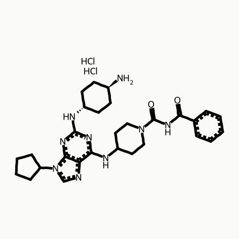 Cl.Cl.N[C@H]1CC[C@H](Nc2nc(NC3CCN(C(=O)NC(=O)c4ccccc4)CC3)c3ncn(C4CCCC4)c3n2)CC1